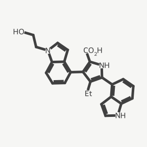 CCc1c(-c2cccc3[nH]ccc23)[nH]c(C(=O)O)c1-c1cccc2c1ccn2CCO